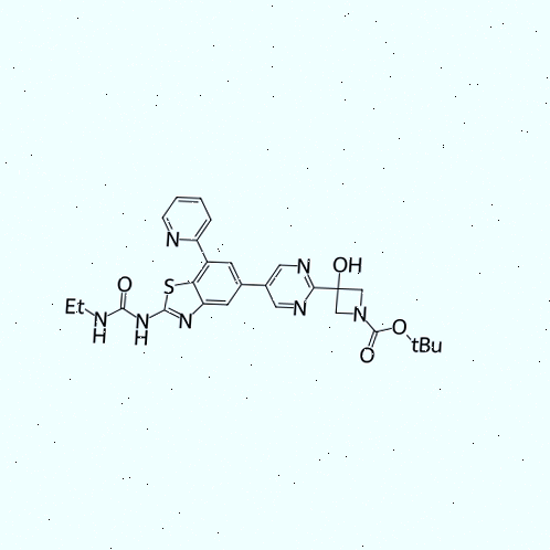 CCNC(=O)Nc1nc2cc(-c3cnc(C4(O)CN(C(=O)OC(C)(C)C)C4)nc3)cc(-c3ccccn3)c2s1